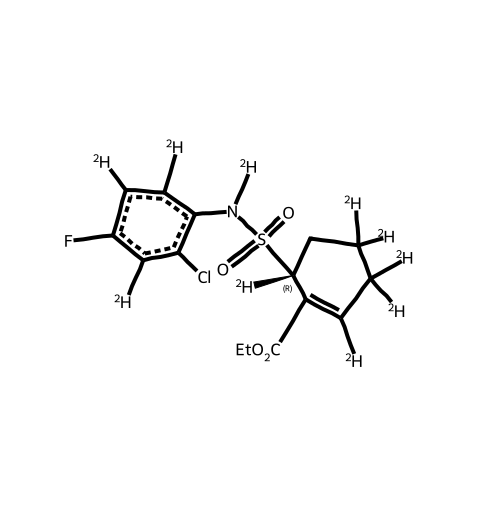 [2H]C1=C(C(=O)OCC)[C@]([2H])(S(=O)(=O)N([2H])c2c([2H])c([2H])c(F)c([2H])c2Cl)CC([2H])([2H])C1([2H])[2H]